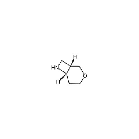 C1C[C@@H]2NC[C@@H]2CO1